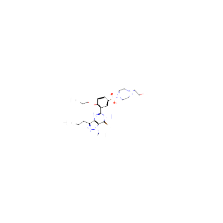 CCCOc1ccc(S(=O)(=O)N2CCN(CCO)CC2)cc1-c1nc2c(CCC)nn(C)c2c(=S)[nH]1